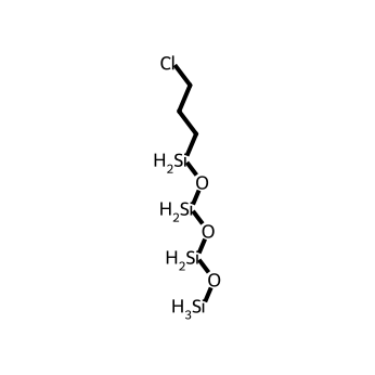 [SiH3]O[SiH2]O[SiH2]O[SiH2]CCCCl